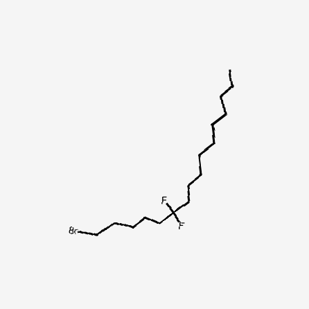 CCCCCCCCCCC(F)(F)CCCCCBr